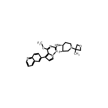 CC1(N2CC[C@H](Nc3nc(OC(F)(F)F)c4c(-c5ccc6ncccc6c5)ccn4n3)[C@H](F)C2)COC1